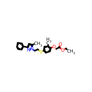 CCOC(=O)COc1ccc(SCCn2nc(-c3ccccc3)cc2C)cc1C